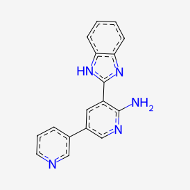 Nc1ncc(-c2cccnc2)cc1-c1nc2ccccc2[nH]1